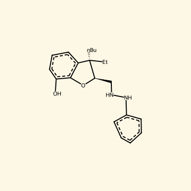 CCCC[C@@]1(CC)c2cccc(O)c2O[C@@H]1CNNc1ccccc1